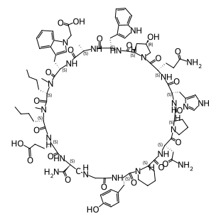 CCCC[C@H]1C(=O)N(C)[C@@H](CCCC)C(=O)N[C@@H](CCC(=O)O)C(=O)N[C@H](C(N)=O)CNCC(=O)N[C@@H](Cc2ccc(O)cc2)C(=O)N2CCCC[C@H]2C(=O)N[C@@H](CC(N)=O)C(=O)N2CCC[C@H]2C(=O)N[C@@H](Cc2c[nH]cn2)C(=O)N[C@@H](CCC(N)=O)C(=O)N2C[C@H](O)C[C@H]2C(=O)N[C@@H](Cc2c[nH]c3ccccc23)C(=O)N[C@@H](C)C(=O)N[C@@H](Cc2cn(CC(=O)O)c3ccccc23)C(=O)N1C